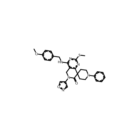 COc1ccc(CNc2nc(SC)nc3c2CN(c2cnoc2)C(=O)C32CCN(c3ccccc3)CC2)cc1